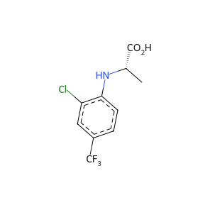 C[C@H](Nc1ccc(C(F)(F)F)cc1Cl)C(=O)O